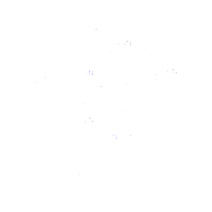 Cc1ccc2c3ccc(C)cc3n(-c3cc(-c4cc(C#N)cc(C(F)(F)F)c4)c(-n4c5cc(C)ccc5c5ccc(C)cc54)cn3)c2c1